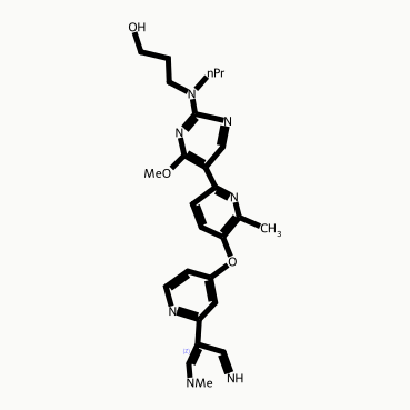 CCCN(CCCO)c1ncc(-c2ccc(Oc3ccnc(/C(C=N)=C/NC)c3)c(C)n2)c(OC)n1